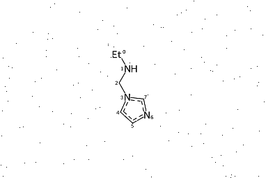 [CH2]CNCn1ccnc1